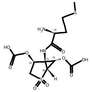 CSCC[C@H](N)C(=O)N[C@@]12[C@H](OC(=O)O)[C@@H]1S(=O)(=O)C[C@H]2OC(=O)O